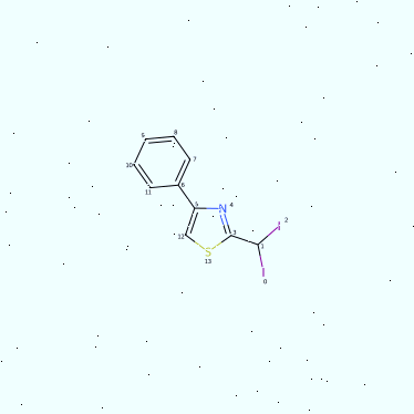 IC(I)c1nc(-c2ccccc2)cs1